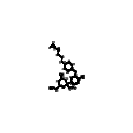 COC1(c2ccc(Cl)c(Cc3ccc(CCCOC4CC4)cc3)c2)CC(O)CC(CO)O1